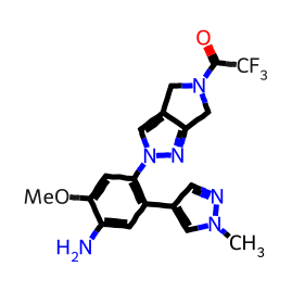 COc1cc(-n2cc3c(n2)CN(C(=O)C(F)(F)F)C3)c(-c2cnn(C)c2)cc1N